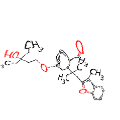 CCC(O)(CC)CCOc1ccc(C=O)c(C(C)(C)c2oc3ccccc3c2C)c1